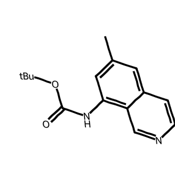 Cc1cc(NC(=O)OC(C)(C)C)c2cnccc2c1